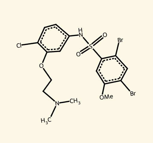 COc1cc(S(=O)(=O)Nc2ccc(Cl)c(OCCN(C)C)c2)c(Br)cc1Br